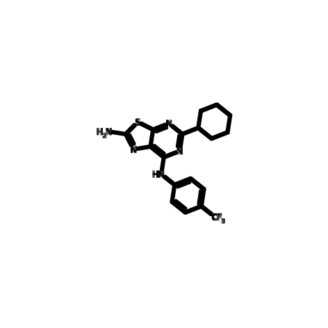 Nc1nc2c(Nc3ccc(C(F)(F)F)cc3)nc(C3CCCCC3)nc2s1